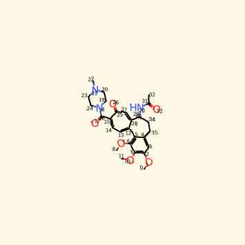 COc1cc2c(c(OC)c1OC)-c1ccc(C(=O)N3CCN(C)CC3)c(=O)cc1[C@@H](NC(C)=O)CC2